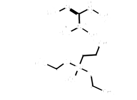 CCC[Si](C)(OCC)OCC.CN=C(NC)N(C)C